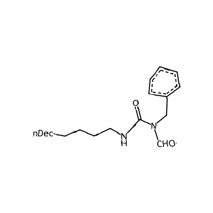 CCCCCCCCCCCCCCNC(=O)N([C]=O)Cc1ccccc1